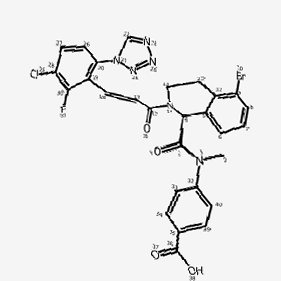 CN(C(=O)[C@@H]1c2cccc(Br)c2CCN1C(=O)/C=C/c1c(-n2cnnn2)ccc(Cl)c1F)c1ccc(C(=O)O)cc1